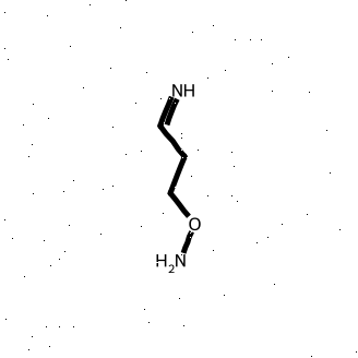 N=CCCON